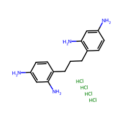 Cl.Cl.Cl.Cl.Nc1ccc(CCCc2ccc(N)cc2N)c(N)c1